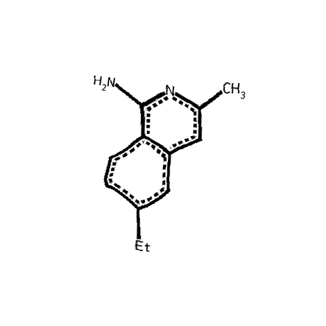 CCc1ccc2c(N)nc(C)cc2c1